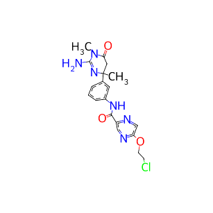 CN1C(=O)CC(C)(c2cccc(NC(=O)c3cnc(OCCCl)cn3)c2)N=C1N